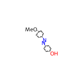 COc1ccc(/N=N/c2ccc(O)cc2)cc1